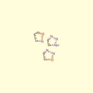 c1c[nH]nn1.c1cnoc1.c1conn1